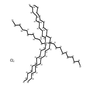 CCCCCCCCCCC(CCCCCCCCCC)(CCCCCCCCCC)[N+](CCCCCCCCCC)(CCCCCCCCCC)CCCCCCCCCC.[Cl-]